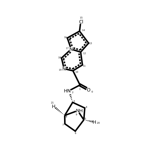 O=C(N[C@@H]1C[C@H]2CC[C@@H]1N2)c1cc2cc(Cl)cn2cn1